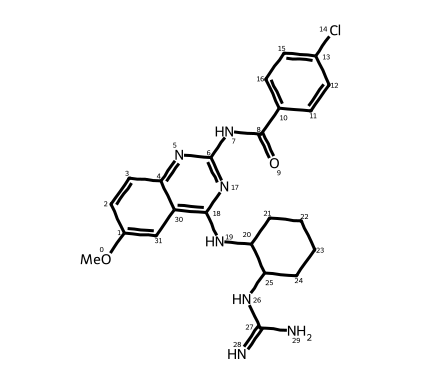 COc1ccc2nc(NC(=O)c3ccc(Cl)cc3)nc(NC3CCCCC3NC(=N)N)c2c1